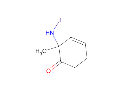 CC1(NI)C=CCCC1=O